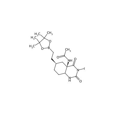 CC(=O)N[C@]12C[C@H](CCB3OC(C)(C)C(C)(C)O3)CCC1NC(=O)N(I)C2=O